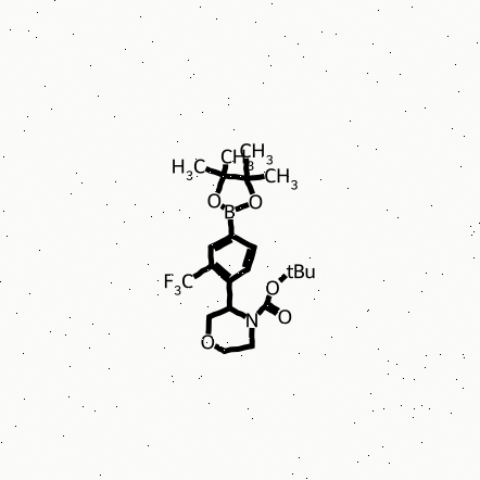 CC(C)(C)OC(=O)N1CCOCC1c1ccc(B2OC(C)(C)C(C)(C)O2)cc1C(F)(F)F